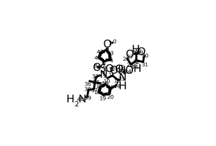 COc1ccc(S(=O)(=O)N(C[C@H](O)[C@H](Cc2ccccc2)NC(=O)O[C@H]2CO[C@H]3OCC[C@H]32)CC(C)(C)CCCN)cc1